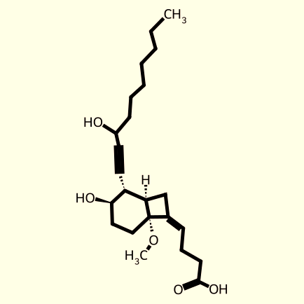 CCCCCCCC(O)C#C[C@H]1[C@H](O)CC[C@]2(OC)C(=CCCC(=O)O)C[C@H]12